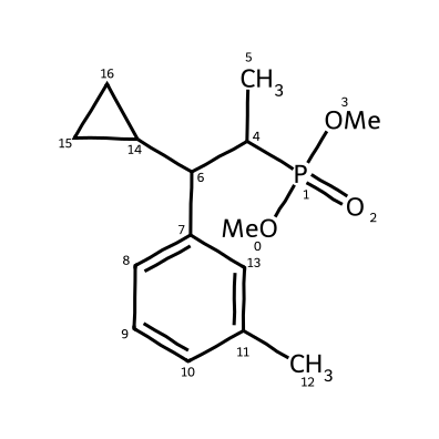 COP(=O)(OC)C(C)C(c1cccc(C)c1)C1CC1